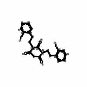 O=C1CC(=O)N(CCc2ccccc2F)C(=O)N1CCc1ccccc1F